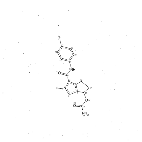 Cn1cc2c(c1C(=O)Nc1ccc(F)cc1)CCC2OC(N)=O